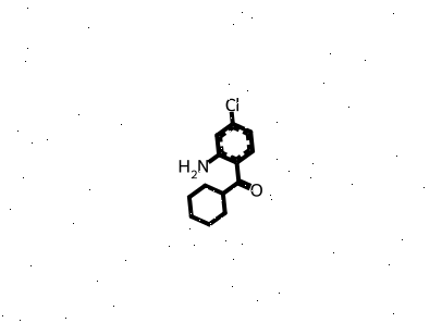 Nc1cc(Cl)ccc1C(=O)C1CCCCC1